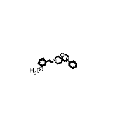 COc1cccc(CCN2CCC3(CC2)CN(c2ccccc2)CCO3)c1